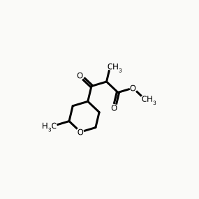 COC(=O)C(C)C(=O)C1CCOC(C)C1